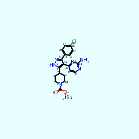 CC(C)(C)OC(=O)N1CCC(c2[nH]nc(-c3ccc(Cl)cc3)c2-c2ccnc(N)n2)CC1